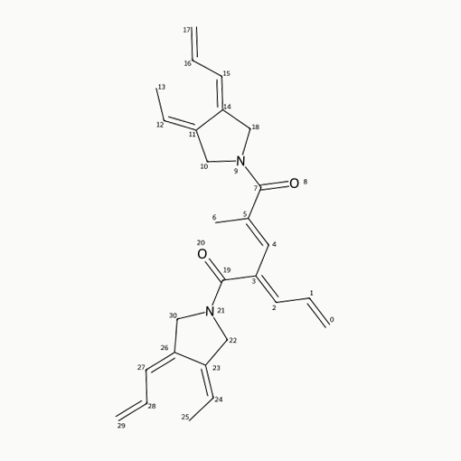 C=C/C=C(\C=C(/C)C(=O)N1CC(=C/C)/C(=C\C=C)C1)C(=O)N1CC(=C/C)/C(=C\C=C)C1